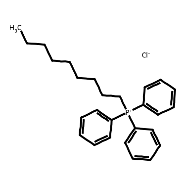 CCCCCCCCC[P+](c1ccccc1)(c1ccccc1)c1ccccc1.[Cl-]